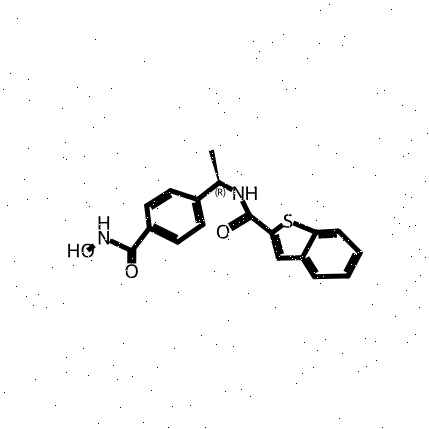 C[C@@H](NC(=O)c1cc2ccccc2s1)c1ccc(C(=O)NO)cc1